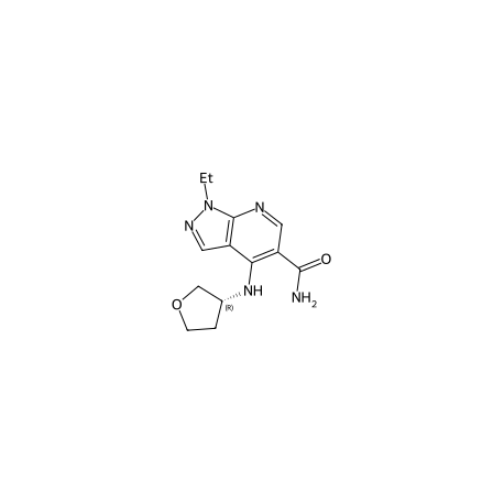 CCn1ncc2c(N[C@@H]3CCOC3)c(C(N)=O)cnc21